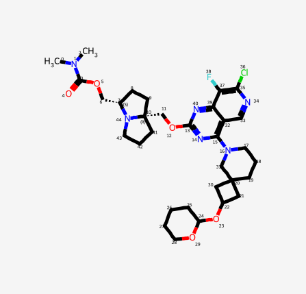 CN(C)C(=O)OC[C@@H]1CC[C@@]2(COc3nc(N4CCCC5(CC(OC6CCCCO6)C5)C4)c4cnc(Cl)c(F)c4n3)CCCN12